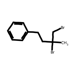 CC(Br)(CBr)CCc1ccccc1